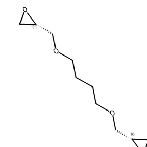 C(CCOC[C@@H]1CO1)COC[C@@H]1CO1